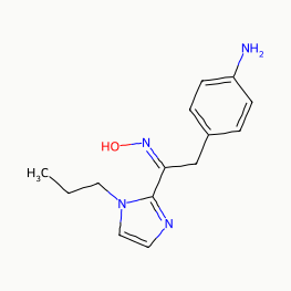 CCCn1ccnc1C(Cc1ccc(N)cc1)=NO